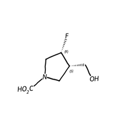 O=C(O)N1C[C@@H](CO)[C@@H](F)C1